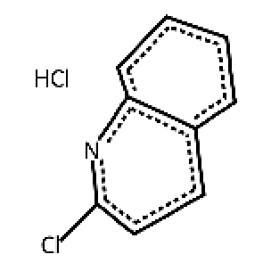 Cl.Clc1ccc2ccccc2n1